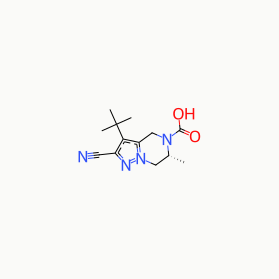 C[C@@H]1Cn2nc(C#N)c(C(C)(C)C)c2CN1C(=O)O